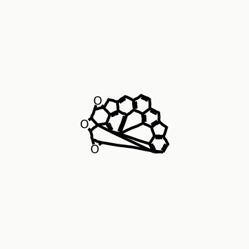 c1c2c3c4c5c1Cc1cc6ccc7cc8c9c%10c(c4c4c9c7c6c4c15)C31C(OC1C1OC%101C8)C1OC21